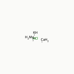 Cl.[CaH2].[KH].[MgH2]